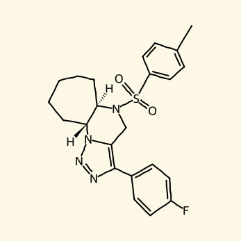 Cc1ccc(S(=O)(=O)N2Cc3c(-c4ccc(F)cc4)nnn3[C@@H]3CCCCC[C@H]32)cc1